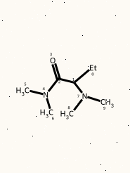 CCC(C(=O)N(C)C)N(C)C